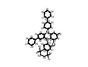 Cc1cc2c3c(c1)N(c1ccc(-c4ccccc4)cc1)c1ccc(-c4ccccc4)cc1B3c1cc3c(cc1O2)C(C)(C)CCC3(C)C